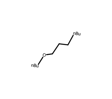 CC[CH]COCCCCCCC